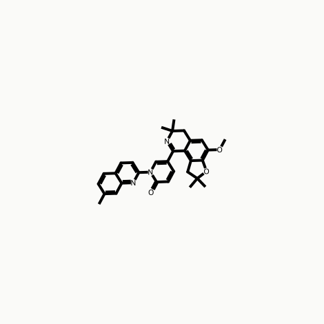 COc1cc2c(c3c1OC(C)(C)C3)C(c1ccc(=O)n(-c3ccc4ccc(C)cc4n3)c1)=NC(C)(C)C2